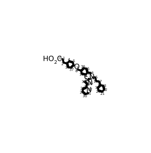 O=C(O)CCc1ccc(OCc2ccc(CN(CCCc3ccccc3)c3nc(-c4ccccn4)cs3)cc2)cc1